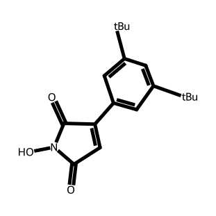 CC(C)(C)c1cc(C2=CC(=O)N(O)C2=O)cc(C(C)(C)C)c1